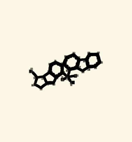 [SH][Zr]([Cl])([Cl])([c]1cccc2c1C=C1CSC(Br)C12)[c]1cccc2c1Cc1ccccc1-2